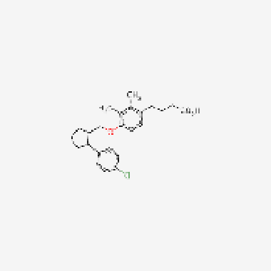 Cc1c(CCCC(=O)O)ccc(OCC2=C(c3ccc(Cl)cc3)CCC2)c1C